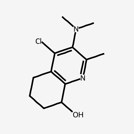 Cc1nc2c(c(Cl)c1N(C)C)CCCC2O